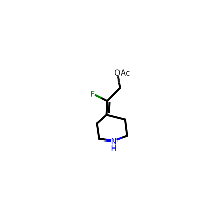 CC(=O)OCC(F)=C1CCNCC1